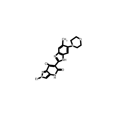 CCn1cc2[nH]c(=O)c(-c3nc4cc(C)c(N5CCOCC5)cc4[nH]3)c(Cl)c2n1